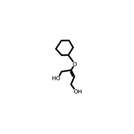 OCC=C(CO)OC1CCCCC1